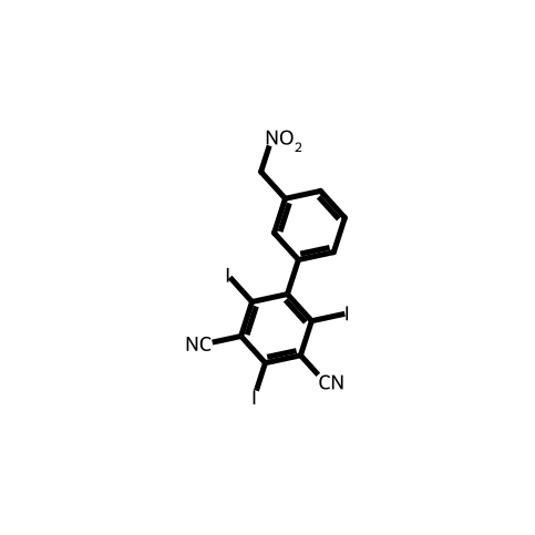 N#Cc1c(I)c(C#N)c(I)c(-c2cccc(C[N+](=O)[O-])c2)c1I